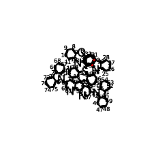 c1ccc2c(c1)Oc1ccccc1N2c1cccc2c1Sc1c(-n3c4ccccc4c4ccccc43)cccc1C21c2cc(-n3c4ccccc4c4ccccc43)cnc2-c2ncc(-n3c4ccccc4c4ccccc43)cc21